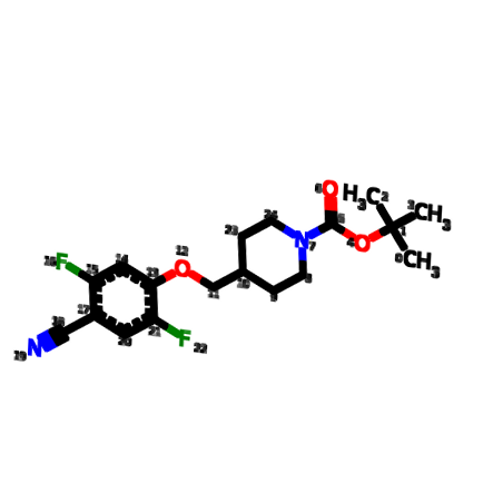 CC(C)(C)OC(=O)N1CCC(COc2cc(F)c(C#N)cc2F)CC1